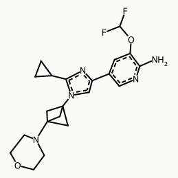 Nc1ncc(-c2cn(C34CC(N5CCOCC5)(C3)C4)c(C3CC3)n2)cc1OC(F)F